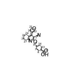 N#Cc1c(OCc2ccc(C(=O)O)cc2)nc2c(c1-c1ccoc1)CCCC2